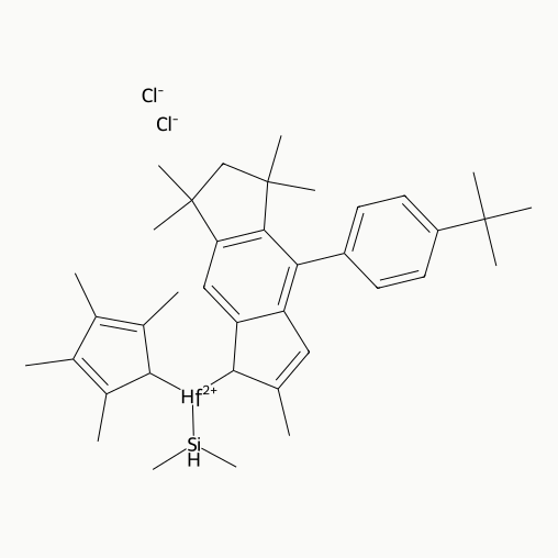 CC1=Cc2c(cc3c(c2-c2ccc(C(C)(C)C)cc2)C(C)(C)CC3(C)C)[CH]1[Hf+2]([CH]1C(C)=C(C)C(C)=C1C)[SiH](C)C.[Cl-].[Cl-]